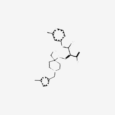 Cc1c[nH]c(CN2CCC(CC#N)(N/C=C(/C(N)=O)C(N)Nc3ccnc(F)c3)CC2)n1